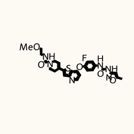 COCCNC(=O)N1CC=C(c2cc3nccc(Oc4ccc(NC(=O)Nc5cc(C)on5)cc4F)c3s2)CC1